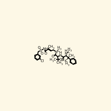 CN[C@H](C(=O)NC(C(=O)N(C)C/C=C(\C)C(=O)NS(=O)(=O)Cc1cccc(Cl)c1)C(C)(C)C)C(C)(C)c1ccccc1